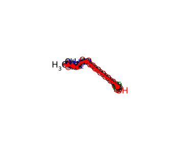 CCCN(OCC)C(=O)C1=Cc2ccc(-c3cccc(S(=O)(=O)N4CC(CNC(=O)C5CCN(C(=O)CCOCCOCCOCCOCCOCCOCCOCCOCCOCCOCCC(=O)Oc6c(F)c(F)c(S(=O)(=O)O)c(F)c6F)CC5)C4)c3)cc2N=C(N)C1